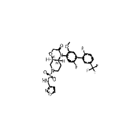 COc1cc(-c2cc(C(F)(F)F)ccc2F)c(F)cc1N1C(=O)CO[C@@H]2CN(S(=O)(=O)Nc3ccon3)CC[C@H]21